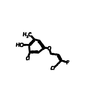 Cc1cc(OCC=C(F)Cl)cc(Cl)c1O